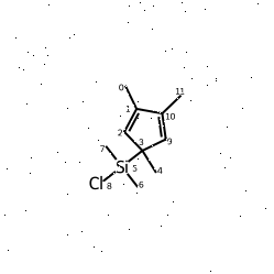 CC1=CC(C)([Si](C)(C)Cl)C=C1C